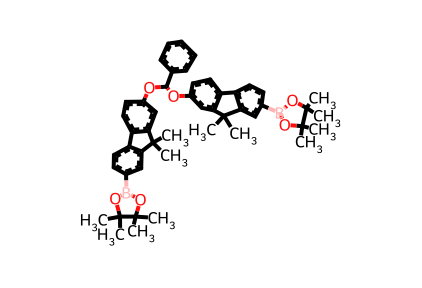 CC1(C)c2cc(OC(Oc3ccc4c(c3)C(C)(C)c3cc(B5OC(C)(C)C(C)(C)O5)ccc3-4)c3ccccc3)ccc2-c2ccc(B3OC(C)(C)C(C)(C)O3)cc21